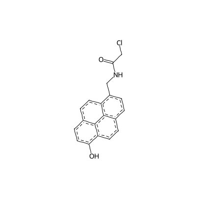 O=C(CCl)NCc1ccc2ccc3c(O)ccc4ccc1c2c43